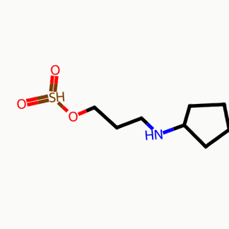 O=[SH](=O)OCCCNC1CCCC1